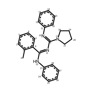 Cc1ccccc1/C(=N\C(=N\c1ccccc1)N1CCCC1)Nc1ccccc1